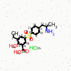 CCc1cc(S(=O)(=O)c2ccc(CC(C)N)cc2)cc(C(=O)O)c1O.Cl